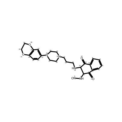 O=NNC1C(=O)c2ccccc2C(=O)C1NCCCN1CCN(c2ccc3c(c2)OCCO3)CC1